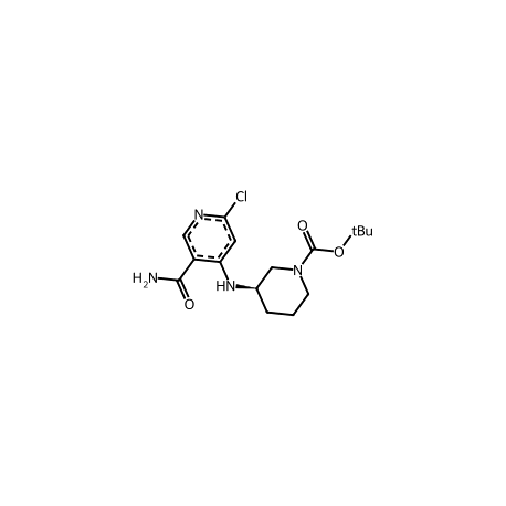 CC(C)(C)OC(=O)N1CCC[C@@H](Nc2cc(Cl)ncc2C(N)=O)C1